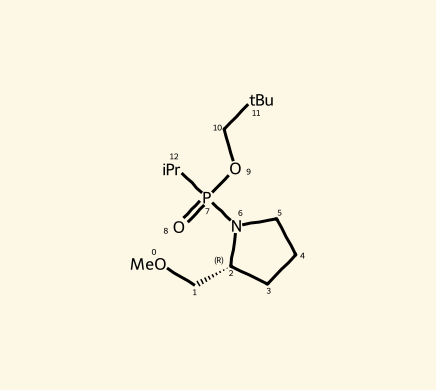 COC[C@H]1CCCN1P(=O)(OCC(C)(C)C)C(C)C